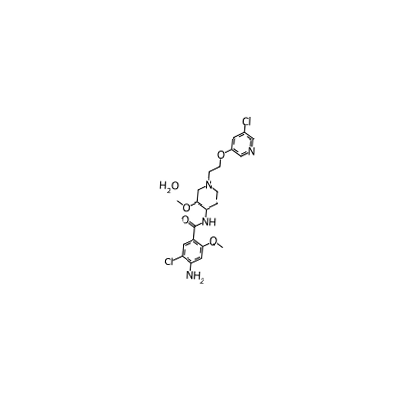 COc1cc(N)c(Cl)cc1C(=O)NC1CCN(CCOc2cncc(Cl)c2)CC1OC.O